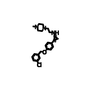 CN1CCN(CCN[C@@H]2C[C@H]2c2ccc(OCc3cccc(Cl)c3)cc2)CC1